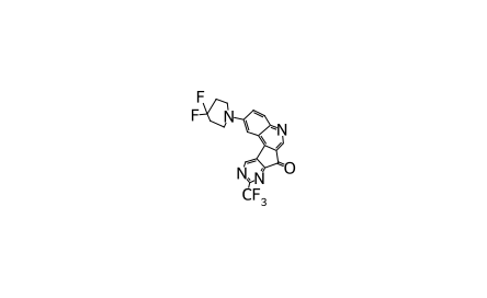 O=C1c2cnc3ccc(N4CCC(F)(F)CC4)cc3c2-c2cnc(C(F)(F)F)nc21